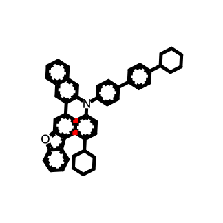 c1ccc2cc(N(c3ccc(-c4ccc(C5CCCCC5)cc4)cc3)c3ccc(C4CCCCC4)cc3)c(-c3ccc4c(c3)oc3ccccc34)cc2c1